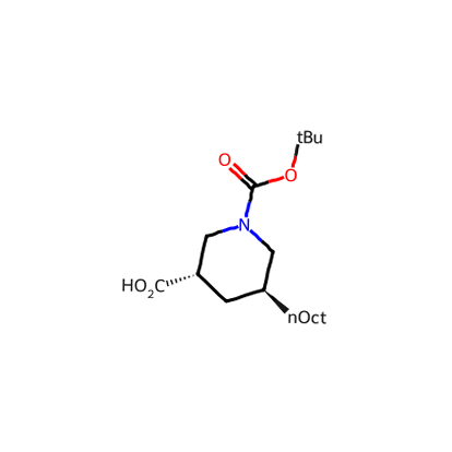 CCCCCCCC[C@H]1C[C@H](C(=O)O)CN(C(=O)OC(C)(C)C)C1